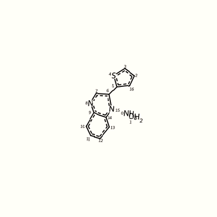 N.O.c1csc(-c2cnc3ccccc3n2)c1